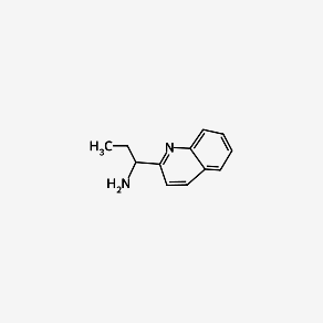 CCC(N)c1ccc2ccccc2n1